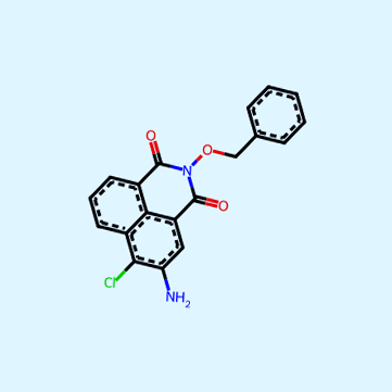 Nc1cc2c3c(cccc3c1Cl)C(=O)N(OCc1ccccc1)C2=O